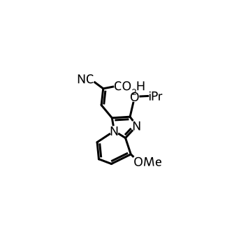 COc1cccn2c(C=C(C#N)C(=O)O)c(OC(C)C)nc12